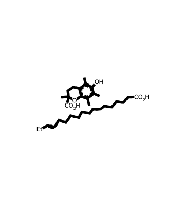 CCC=CCCCCCCCCCCCCCC(=O)O.Cc1c(C)c2c(c(C)c1O)CCC(C)(C(=O)O)O2